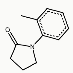 Cc1ccccc1N1CCCC1=O